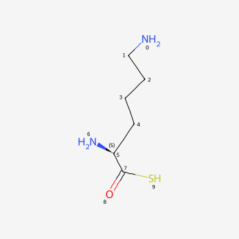 NCCCC[C@H](N)C(=O)S